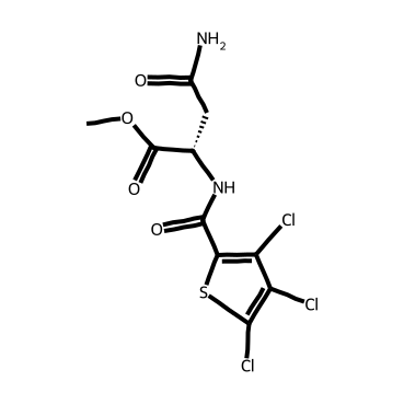 COC(=O)[C@H](CC(N)=O)NC(=O)c1sc(Cl)c(Cl)c1Cl